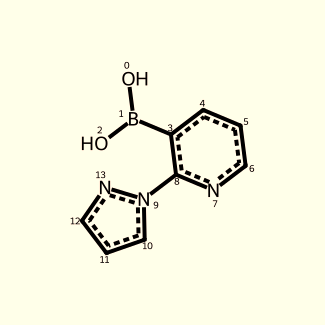 OB(O)c1cccnc1-n1cccn1